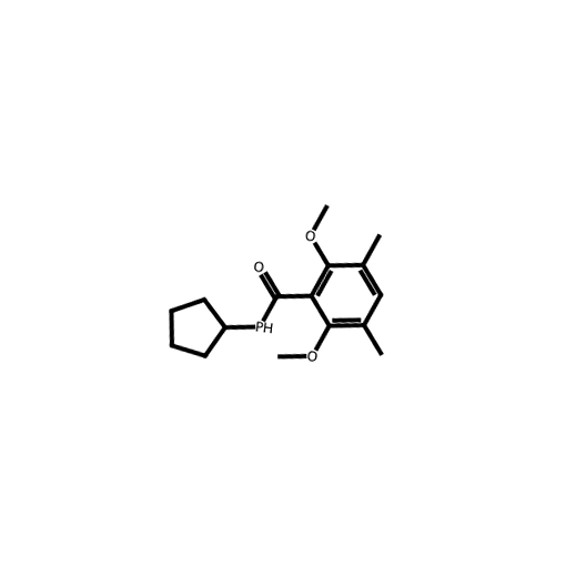 COc1c(C)cc(C)c(OC)c1C(=O)PC1CCCC1